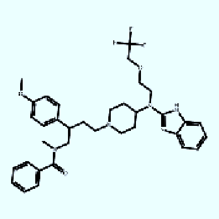 COc1ccc(C(CCN2CCC(N(CCOCC(F)(F)F)c3nc4ccccc4[nH]3)CC2)CN(C)C(=O)c2ccccc2)cc1